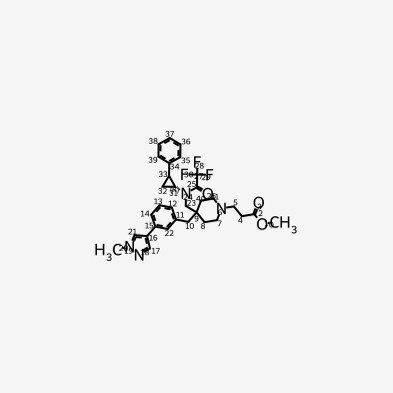 COC(=O)CCN1CCC(Cc2cccc(-c3cnn(C)c3)c2)(CN(C(=O)C(F)(F)F)[C@@H]2CC2c2ccccc2)CC1